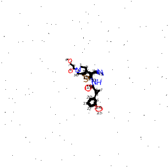 COCCC(=O)N1CCc2c(sc(NC(=O)C3CC3c3cccc(OC)c3)c2C#N)C1